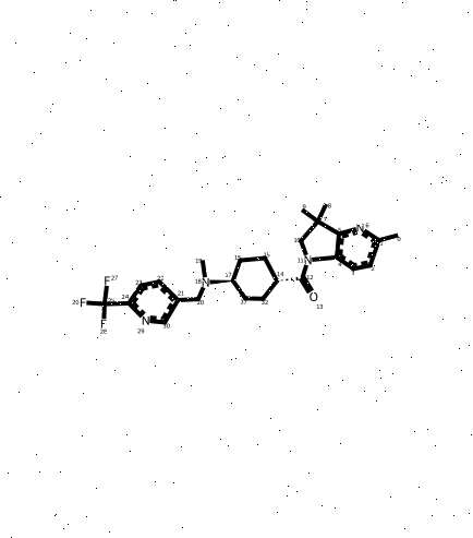 Cc1ccc2c(n1)C(C)(C)CN2C(=O)[C@H]1CC[C@H](N(C)Cc2ccc(C(F)(F)F)nc2)CC1